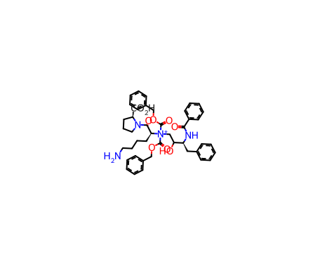 NCCCC[C@@H](C(=O)N1CCC[C@H]1C(=O)O)[N+](CC(O)[C@H](Cc1ccccc1)NC(=O)c1ccccc1)(C(=O)OCc1ccccc1)C(=O)OCc1ccccc1